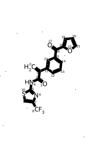 C=C(C(=O)Nc1nc(C(F)(F)F)cs1)c1cccc(C(=O)c2ccco2)c1